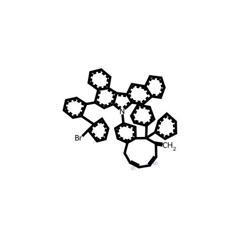 C=C1/C=C\C=C/Cc2ccc(-n3c4cc5ccccc5cc4c4c5ccccc5c(-c5ccccc5-c5ccccc5Br)cc43)cc2C1(c1ccccc1)c1ccccc1